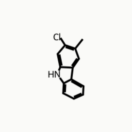 Cc1cc2c(cc1Cl)[nH]c1ccccc12